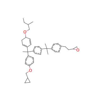 CCC(C)COC1C=CC(C(C)(c2ccc(OCC3CC3)cc2)c2ccc(C(C)(C)c3ccc(CCC4CO4)cc3)cc2)=CC1